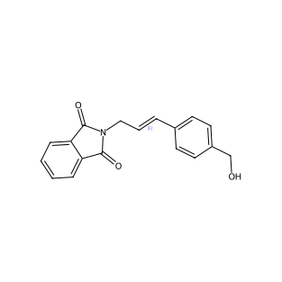 O=C1c2ccccc2C(=O)N1C/C=C/c1ccc(CO)cc1